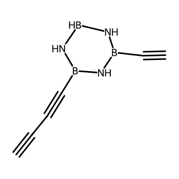 C#CC#CB1NBNB(C#C)N1